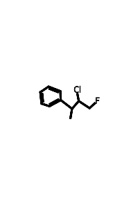 CC(c1ccccc1)C(Cl)CF